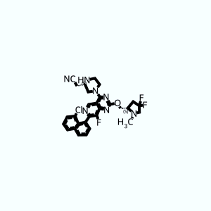 CN1CC(F)(F)C[C@H]1COc1nc(N2CCN[C@@H](CC#N)C2)c2cnc(-c3cccc4cccc(Cl)c34)c(F)c2n1